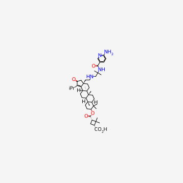 CC(C)C1=C2[C@H]3CC[C@@H]4[C@@]5(C)CC[C@H](OC(=O)[C@H]6C[C@@H](C(=O)O)C6(C)C)C(C)(C)[C@@H]5CC[C@@]4(C)[C@]3(C)CC[C@@]2(CCNCC(C)(C)NC(=O)c2ccc(N)nc2)CC1=O